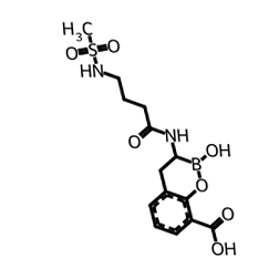 CS(=O)(=O)NCCCC(=O)NC1Cc2cccc(C(=O)O)c2OB1O